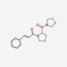 O=C(C1CSCN1C(=O)C=Cc1ccccc1)N1CCSC1